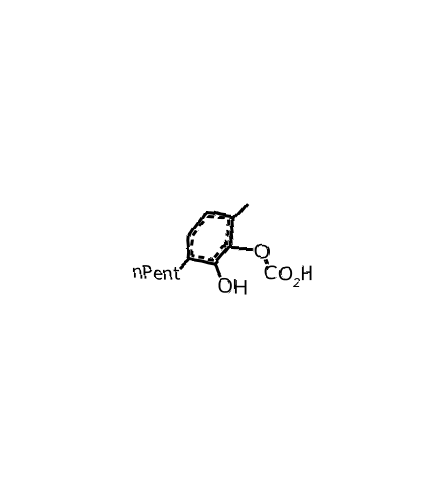 CCCCCc1ccc(C)c(OC(=O)O)c1O